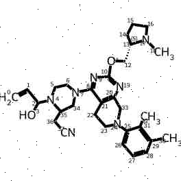 C=CC(O)N1CCN(c2nc(OC[C@@H]3CCCN3C)nc3c2CCN(c2cccc(C)c2C)C3)CC1CC#N